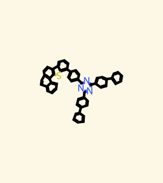 c1ccc(-c2ccc(-c3nc(-c4ccc(-c5ccccc5)cc4)nc(-c4ccc(-c5cccc6c5sc5c6ccc6ccc7ccccc7c65)cc4)n3)cc2)cc1